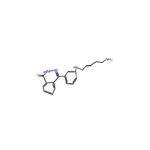 NCCCCCNc1cccc(-c2n[nH]c(=O)c3ccccc23)c1